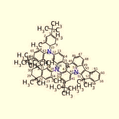 CC1=CC(C(C)(C)C)=CCC1N(c1ccc2c(c1)N(c1cc3c(cc1C)C(C)(C)CCC3(C)C)c1cc(C(C)(C)C)cc3c1B2c1cccc2c4c(n-3c12)C(C)(C)c1ccccc1-4)c1ccc(C(C)(C)C)cc1C